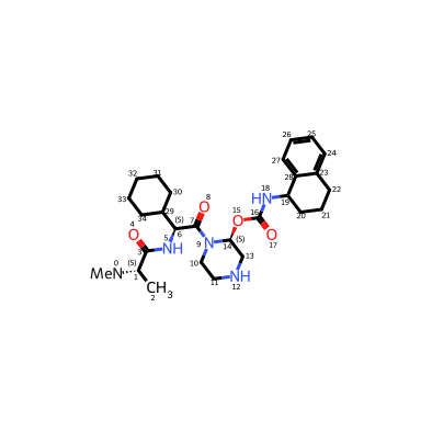 CN[C@@H](C)C(=O)N[C@H](C(=O)N1CCNC[C@@H]1OC(=O)NC1CCCc2ccccc21)C1CCCCC1